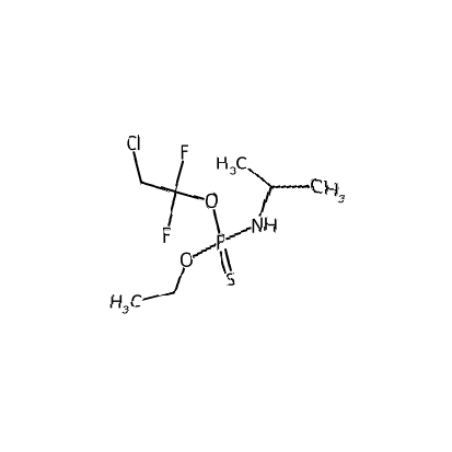 CCOP(=S)(NC(C)C)OC(F)(F)CCl